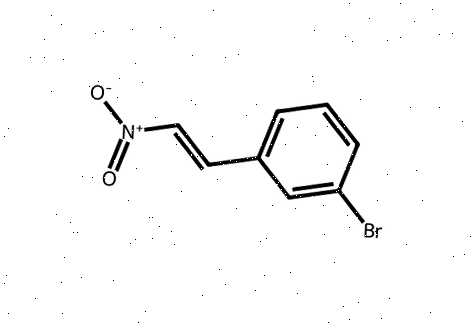 O=[N+]([O-])C=Cc1cccc(Br)c1